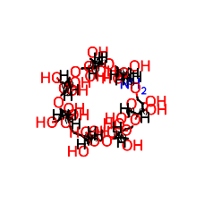 N[C@H]1[C@@H]2OC3O[C@H](CO)C(OC4O[C@H](CO)C(OC5O[C@H](CO)C(CC6O[C@H](CO)C(OC7O[C@H](CO)C(OC8O[C@H](CO)[C@@H](OC(O[C@@H]2CO)[C@@H]1O)[C@H](O)C8O)[C@H](O)[C@H]7O)[C@H](O)[C@H]6O)[C@H](O)[C@H]5O)[C@H](O)C4O)[C@H](O)C3O